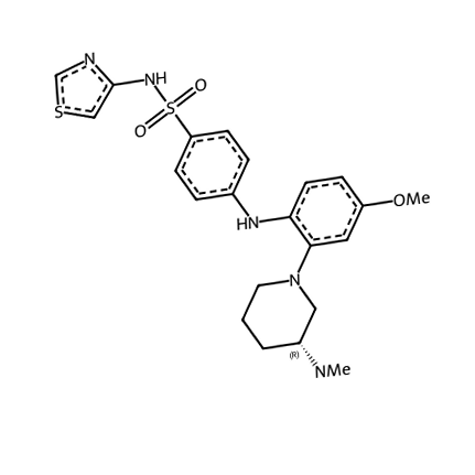 CN[C@@H]1CCCN(c2cc(OC)ccc2Nc2ccc(S(=O)(=O)Nc3cscn3)cc2)C1